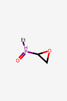 CC[PH](=O)C1CO1